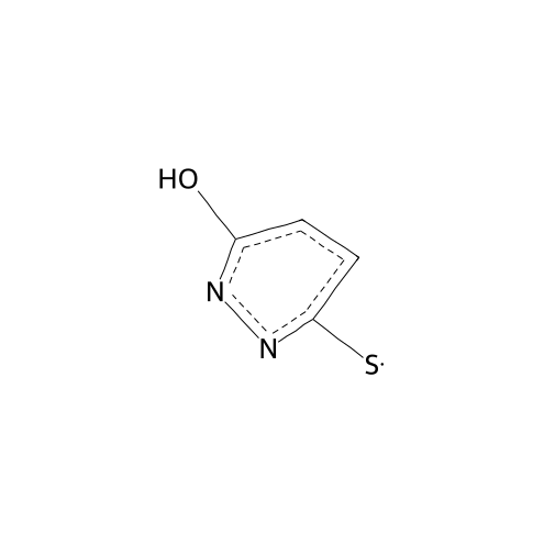 Oc1ccc([S])nn1